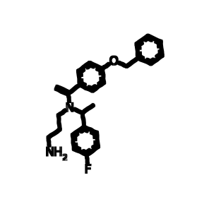 C=C(c1ccc(OCc2ccccc2)cc1)N(CCCN)C(C)c1ccc(F)cc1